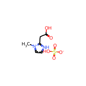 C[n+]1cc[nH]c1CC(=O)O.O=S(=O)([O-])O